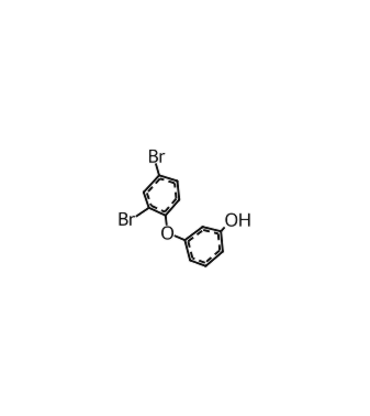 Oc1cccc(Oc2ccc(Br)cc2Br)c1